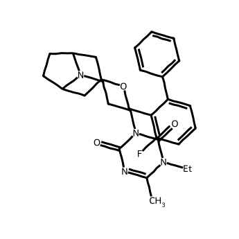 CCn1c(C)nc(=O)n(CCCN2C3CCC2CC(OCc2c(F)cccc2-c2ccccc2)C3)c1=O